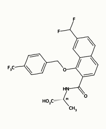 C[C@@H](NC(=O)c1ccc2ccc(C(F)F)cc2c1OCc1ccc(C(F)(F)F)cc1)C(=O)O